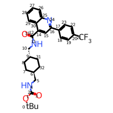 CC(C)(C)OC(=O)NC[C@H]1CC[C@H](CNC(=O)c2cc(-c3ccc(C(F)(F)F)cc3)nc3ccccc23)CC1